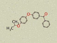 CC(C)Oc1ccc(Oc2ccc(C(=O)c3ccccc3)cc2)cc1